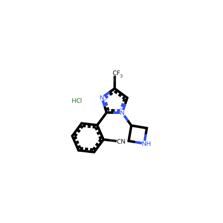 Cl.N#Cc1ccccc1-c1nc(C(F)(F)F)cn1C1CNC1